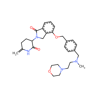 C=C1CCC(N2Cc3c(OCc4ccc(CN(C)CCN5CCOCC5)cc4)cccc3C2=O)C(=O)N1